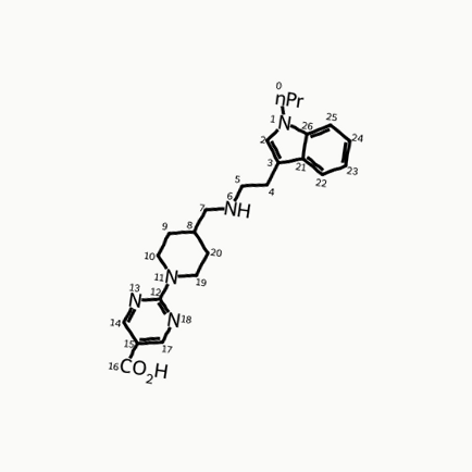 CCCn1cc(CCNCC2CCN(c3ncc(C(=O)O)cn3)CC2)c2ccccc21